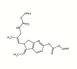 C/C=C1/c2ccc(OC(=O)OCCCCCC)nc2CC1/C=C(/C)CNC(=O)OCCCCCC